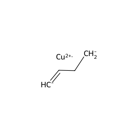 [CH-]=CC[CH2-].[Cu+2]